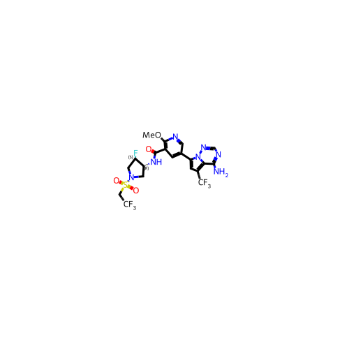 COc1ncc(-c2cc(C(F)(F)F)c3c(N)ncnn23)cc1C(=O)N[C@@H]1CN(S(=O)(=O)CC(F)(F)F)C[C@@H]1F